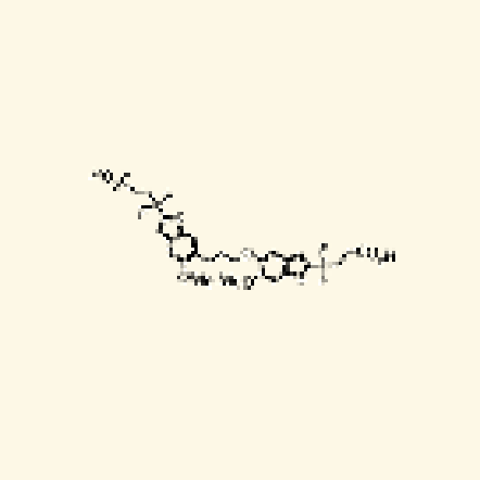 COc1cc2cc(C(F)(F)CCC(=O)O)sc2cc1CCCOc1cc2cc(C(F)(F)CCC(=O)O)sc2cc1OC